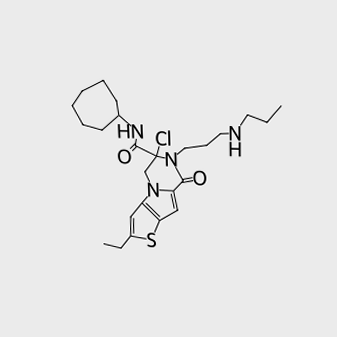 CCCNCCCN1C(=O)c2cc3sc(CC)cc3n2CC1(Cl)C(=O)NC1CCCCCC1